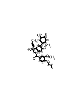 CC#CC(O)(CNC(=O)c1ccc(OCCF)c(OC)c1)c1ccc(OC)c(-c2ccc(F)c(Cl)c2)n1